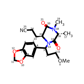 COCCC(c1ccc2c(c1)OCO2)N1C(=O)[C@@H](C)N(C)C(=O)[C@@H]1CCC#N